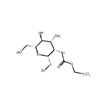 CCS[C@@H]1O[C@H](CO)[C@@H](O)[C@H](O)[C@@H]1NC(=O)OCC(Cl)(Cl)Cl